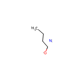 CCCC[O].[N]